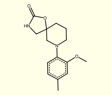 COc1cc(C)ccc1N1CCCC2(CNC(=O)O2)C1